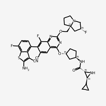 N#Cc1c(N)sc2c(F)ccc(-c3c(Cl)cc4c(O[C@@H]5CC[C@@H](NC(=O)[C@@H]6N[C@H]6C6CC6)C5)nc(OC[C@@]56CCCN5C[C@H](F)C6)nc4c3F)c12